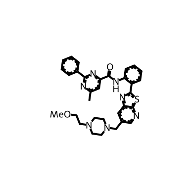 COCCN1CCN(Cc2cnc3sc(-c4ccccc4NC(=O)c4cc(C)nc(-c5ccccc5)n4)nc3c2)CC1